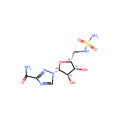 NC(=O)c1ncn([C@@H]2O[C@H](CNS(N)(=O)=O)[C@@H](O)[C@H]2O)n1